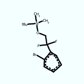 CC(C)(C)[Si](C)(C)OCC(F)(F)c1ccccc1Br